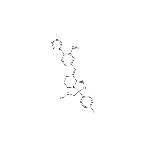 COc1cc(/C=C2\CCCN3C2=NOC3(COC(C)C)c2ccc(F)cc2)ccc1-n1cnc(C)c1